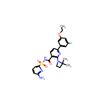 CCOc1cc(F)cc(-c2ccc(C(=O)NS(=O)(=O)c3cccc(N)n3)c(N3CCC3(C)C)n2)c1